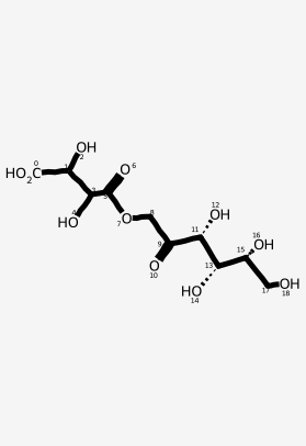 O=C(O)C(O)C(O)C(=O)OCC(=O)[C@H](O)[C@@H](O)[C@H](O)CO